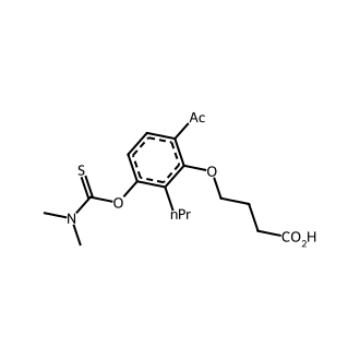 CCCc1c(OC(=S)N(C)C)ccc(C(C)=O)c1OCCCC(=O)O